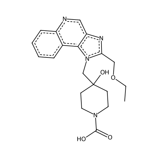 CCOCc1nc2cnc3ccccc3c2n1CC1(O)CCN(C(=O)O)CC1